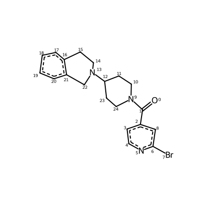 O=C(c1ccnc(Br)c1)N1CCC(N2CCc3ccccc3C2)CC1